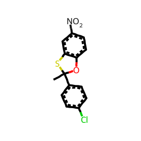 CC1(c2ccc(Cl)cc2)Oc2ccc([N+](=O)[O-])cc2S1